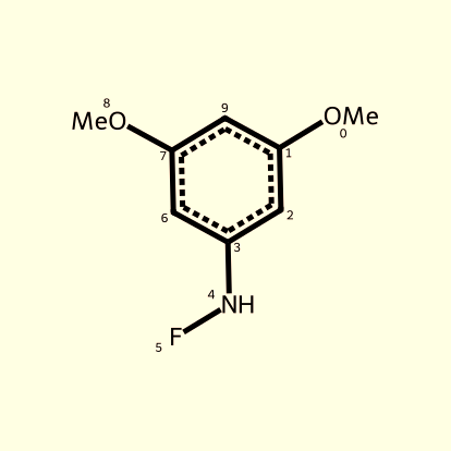 COc1cc(NF)cc(OC)c1